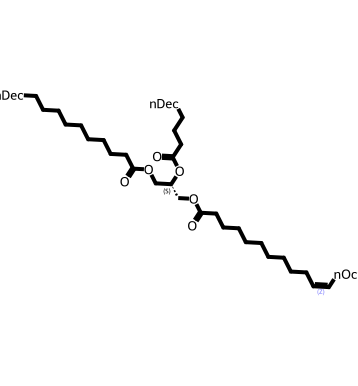 CCCCCCCC/C=C\CCCCCCCCCC(=O)OC[C@H](COC(=O)CCCCCCCCCCCCCCCCCCC)OC(=O)CCCCCCCCCCCCC